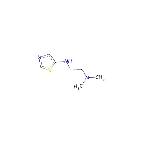 CN(C)CCNc1cncs1